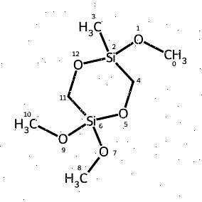 CO[Si]1(C)CO[Si](OC)(OC)CO1